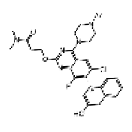 CC(=O)N1CCN(c2nc(OCCC(=O)N(C)C)nc3c(F)c([C@H]4C=C(O)Cc5ccccc54)c(Cl)cc23)CC1